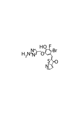 Nc1ncc(COc2cc(/C=C3\Sc4ncccc4C3=O)c(Br)c(F)c2O)cn1